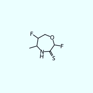 CC1NC(=S)C(F)OCC1F